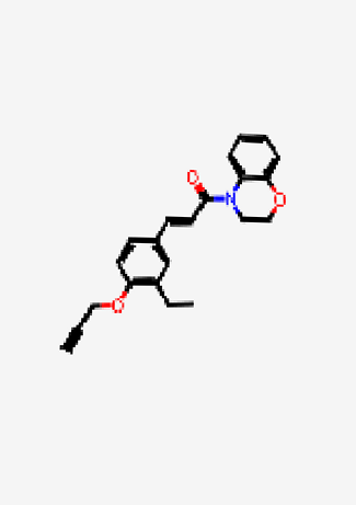 C#CCOc1ccc(/C=C/C(=O)N2CCOc3ccccc32)cc1CC